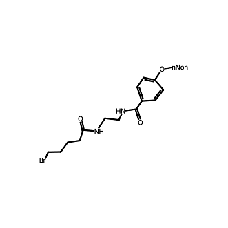 CCCCCCCCCOc1ccc(C(=O)NCCNC(=O)CCCCBr)cc1